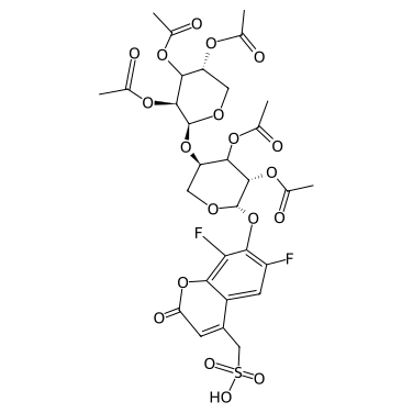 CC(=O)OC1[C@H](OC(C)=O)CO[C@@H](O[C@@H]2CO[C@@H](Oc3c(F)cc4c(CS(=O)(=O)O)cc(=O)oc4c3F)[C@@H](OC(C)=O)C2OC(C)=O)[C@H]1OC(C)=O